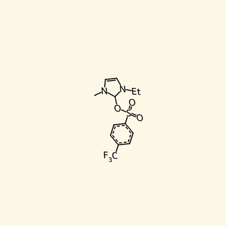 CCN1C=CN(C)C1OS(=O)(=O)c1ccc(C(F)(F)F)cc1